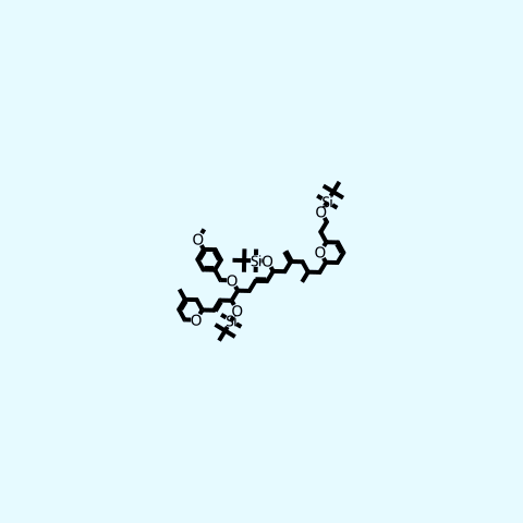 C=C(CC(C)CC1CC=CC(CCO[Si](C)(C)C(C)(C)C)O1)CC(C=CCC(OCc1ccc(OC)cc1)C(C=CC1CC(C)=CCO1)O[Si](C)(C)C(C)(C)C)O[Si](C)(C)C(C)(C)C